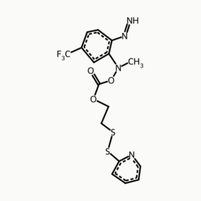 CN(OC(=O)OCCSSc1ccccn1)c1cc(C(F)(F)F)ccc1N=N